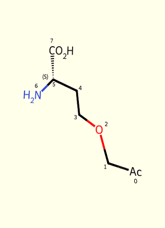 CC(=O)COCC[C@H](N)C(=O)O